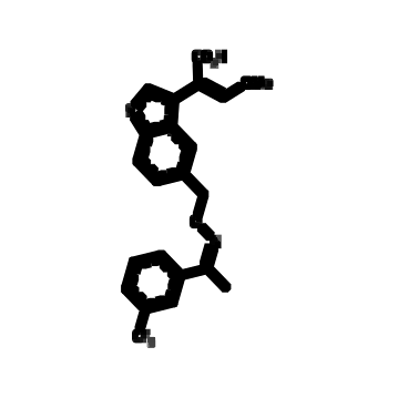 COC=C(C(=O)O)c1csc2ccc(CON=C(C)c3cccc(C(F)(F)F)c3)cc12